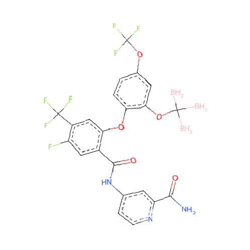 BC(B)(B)Oc1cc(OC(F)(F)F)ccc1Oc1cc(C(F)(F)F)c(F)cc1C(=O)Nc1ccnc(C(N)=O)c1